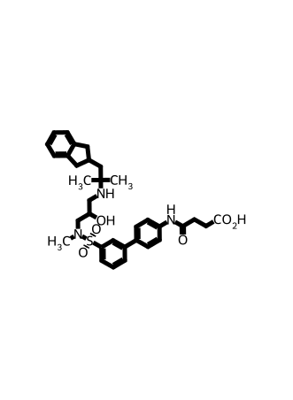 CN(CC(O)CNC(C)(C)CC1Cc2ccccc2C1)S(=O)(=O)c1cccc(-c2ccc(NC(=O)CCC(=O)O)cc2)c1